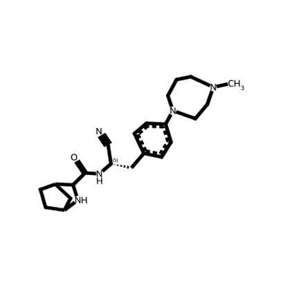 CN1CCCN(c2ccc(C[C@@H](C#N)NC(=O)C3NC4CCC3C4)cc2)CC1